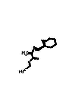 CCOC(=O)C(C)N=CC1CCCCC1